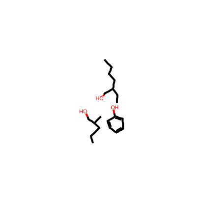 CCCC(C)CO.CCCCC(CC)CO.Oc1ccccc1